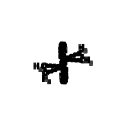 CCCCCCCCC1(CCCCCCCC)c2cc(-c3nc4ccccc4s3)ccc2-c2cc3c(cc21)-c1ccc(-c2nc4ccccc4s2)cc1C3(CCCCCCCC)CCCCCCCC